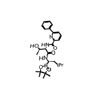 CC(C)C[C@H](NC(=O)[C@@H](NC(=O)c1cccc(-c2ccccc2)n1)[C@@H](C)O)B1OC(C)(C)C(C)(C)O1